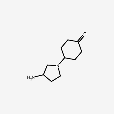 NC1CCN(C2CCC(=O)CC2)C1